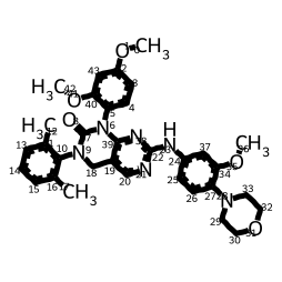 COc1ccc(N2C(=O)N(c3c(C)cccc3C)Cc3cnc(Nc4ccc(N5CCOCC5)c(OC)c4)nc32)c(OC)c1